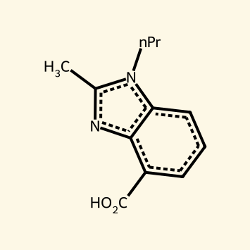 CCCn1c(C)nc2c(C(=O)O)cccc21